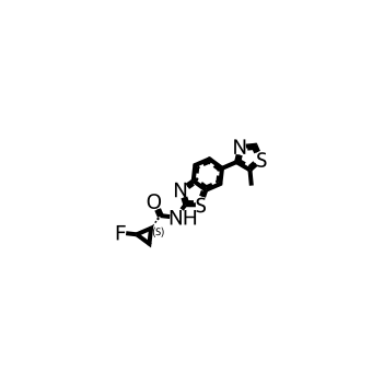 Cc1scnc1-c1ccc2nc(NC(=O)[C@@H]3CC3F)sc2c1